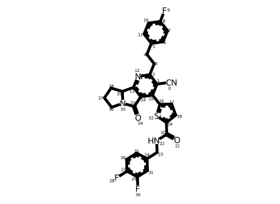 N#Cc1c(CCc2ccc(F)cc2)nc2c(c1-c1ccc(C(=O)NCc3ccc(F)c(F)c3)s1)C(=O)N1CCCC21